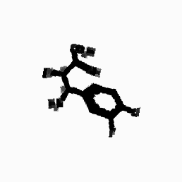 CC[C@@H](C(=N)C(=O)O)[C@H](N)c1ccc(Cl)c(F)c1